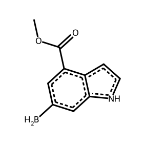 Bc1cc(C(=O)OC)c2cc[nH]c2c1